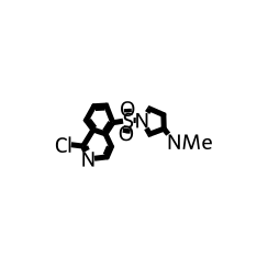 CNC1CCN(S(=O)(=O)c2cccc3c(Cl)nccc23)C1